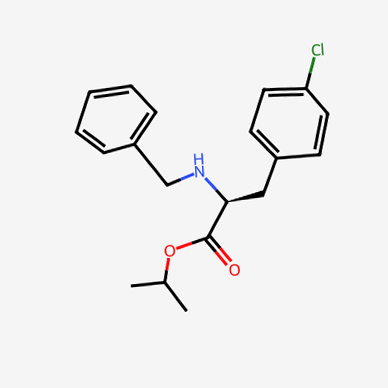 CC(C)OC(=O)[C@H](Cc1ccc(Cl)cc1)NCc1ccccc1